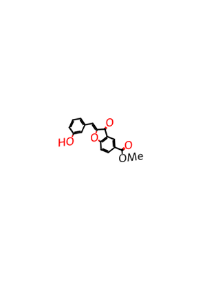 COC(=O)c1ccc2c(c1)C(=O)C(=Cc1cccc(O)c1)O2